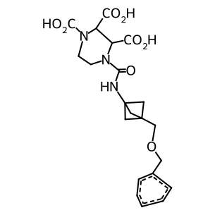 O=C(O)C1C(C(=O)O)N(C(=O)NC23CC(COCc4ccccc4)(C2)C3)CCN1C(=O)O